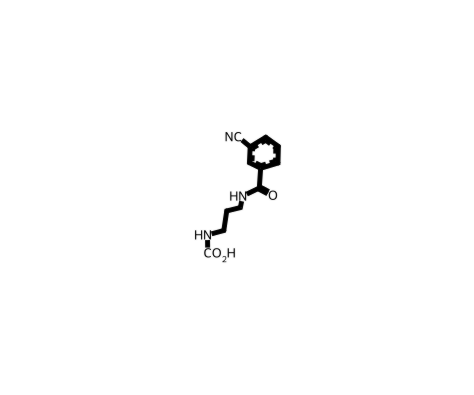 N#Cc1cccc(C(=O)NCCCNC(=O)O)c1